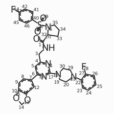 O=C(NCc1cc(-c2ccc3c(c2)OCO3)nc(N2CCN(c3ccccc3F)CC2)n1)[C@@H]1CCCN1S(=O)(=O)c1ccc(F)cc1